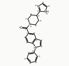 O=C(c1ccc2c(ccn2-c2ccccc2)c1)N1CCC(c2ncc[nH]2)CC1